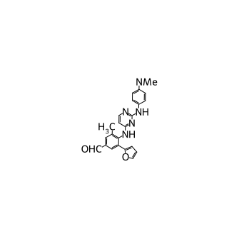 CNc1ccc(Nc2nccc(Nc3c(C)cc(C=O)cc3-c3ccco3)n2)cc1